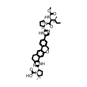 CC[C@H](C)[C@H](NC(=O)OC)C(=O)N1[C@@H](C)CC[C@H]1c1ncc(-c2ccc3c(c2)COc2cc4c(cc2-3)CCc2nc([C@@H]3CC[C@H](C)N3C(=O)O)[nH]c2-4)[nH]1